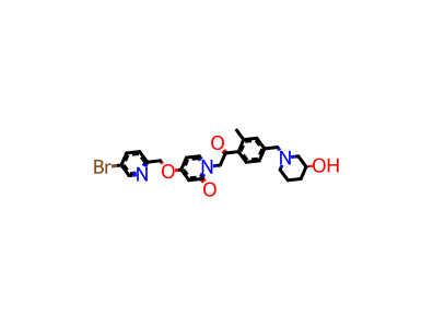 Cc1cc(CN2CCC[C@H](O)C2)ccc1C(=O)Cn1ccc(OCc2ccc(Br)cn2)cc1=O